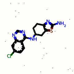 Nc1nc2c(s1)CC(Nc1ncnc3cc(Cl)ccc13)CC2